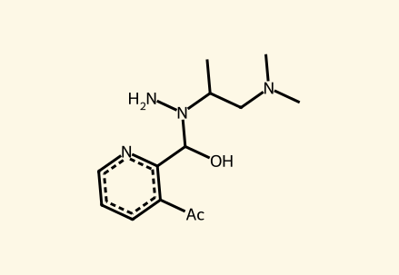 CC(=O)c1cccnc1C(O)N(N)C(C)CN(C)C